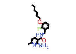 CCCC=CCOc1cccc(CNC(=O)c2ccc(C)nc2N)c1F